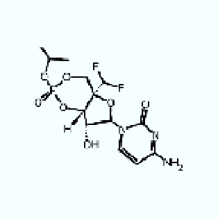 CC(C)OP1(=O)OC[C@@]2(C(F)F)O[C@@H](n3ccc(N)nc3=O)[C@H](O)[C@@H]2O1